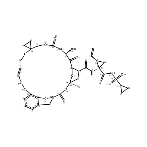 C=C[C@H]1C[C@@]1(NC(=O)C1C[C@@H]2CN1C(=O)[C@H](C(C)(C)C)NC(=O)OCC1(CC/C=C/COc3cccc4c3CN(C4)C(=O)O2)CC1)C(=O)NS(=O)(=O)C1CC1